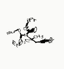 CCOC(=O)[C@](C)(CC#CBr)N(C(=O)OC(C)C)C(=O)OC(C)(C)C